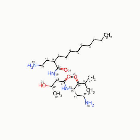 CCCCCCCCCC(CCN)C(=O)N[C@H](C(=O)N[C@@H](CCN)C(=O)C(C)C)[C@H](C)O